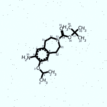 CC(C)Oc1cc2c(cc1N)CCN(C(=O)OC(C)(C)C)CC2